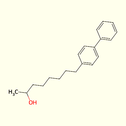 CC(O)CCCCCCc1ccc(-c2ccccc2)cc1